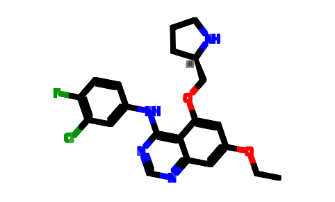 CCOc1cc(OC[C@H]2CCCN2)c2c(Nc3ccc(F)c(Cl)c3)ncnc2c1